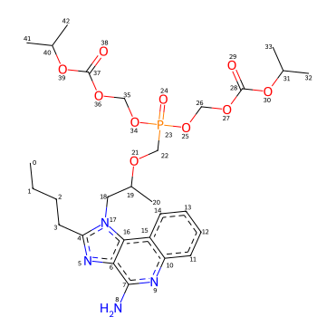 CCCCc1nc2c(N)nc3ccccc3c2n1CC(C)OCP(=O)(OCOC(=O)OC(C)C)OCOC(=O)OC(C)C